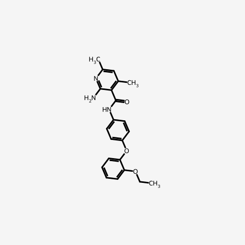 CCOc1ccccc1Oc1ccc(NC(=O)c2c(C)cc(C)nc2N)cc1